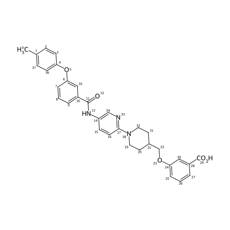 Cc1ccc(Oc2cccc(C(=O)Nc3ccc(N4CCC(COc5cccc(C(=O)O)c5)CC4)nc3)c2)cc1